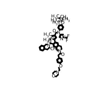 Cc1c(C(=O)N(c2ccc(O[Si](C)(C)C(C)(C)C)cc2)c2cnn(C(F)F)c2)cc(-c2cc3c(cc2C(=O)N2Cc4ccccc4C[C@H]2C)CN(C(=O)Cc2ccc(OCCN4CCOCC4)cc2)CC3)n1C